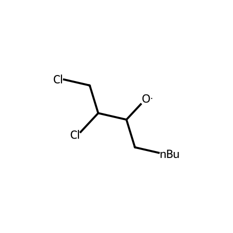 CCCCCC([O])C(Cl)CCl